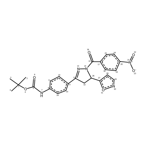 CC(C)(C)OC(=O)Nc1ccc(C2=NN(C(=O)c3ccc([N+](=O)[O-])cc3)C(c3ccno3)C2)cc1